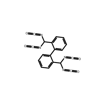 O=C=NC(N=C=O)c1ccccc1-c1ccccc1C(N=C=O)N=C=O